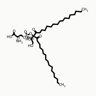 CCCCCCCCCCCCCCCCC(=O)C(OP(=O)(O)OC[C@H](N)C(=O)O)(C(=O)CCCCCCCCCCCCCCCC)[C@@H](O)CO